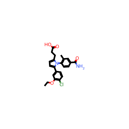 CCOc1cc(-c2ccc(CCC(=O)O)n2-c2ccc(C(N)=O)cc2C)ccc1Cl